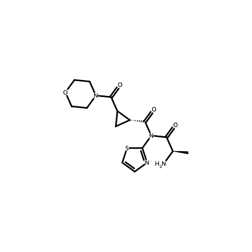 C[C@@H](N)C(=O)N(C(=O)[C@@H]1CC1C(=O)N1CCOCC1)c1nccs1